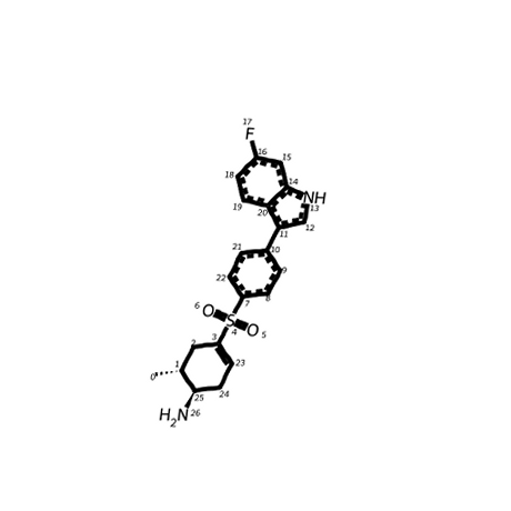 C[C@@H]1CC(S(=O)(=O)c2ccc(-c3c[nH]c4cc(F)ccc34)cc2)=CC[C@H]1N